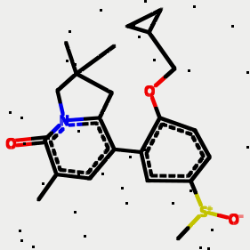 Cc1cc(-c2cc([S+](C)[O-])ccc2OCC2CC2)c2n(c1=O)CC(C)(C)C2